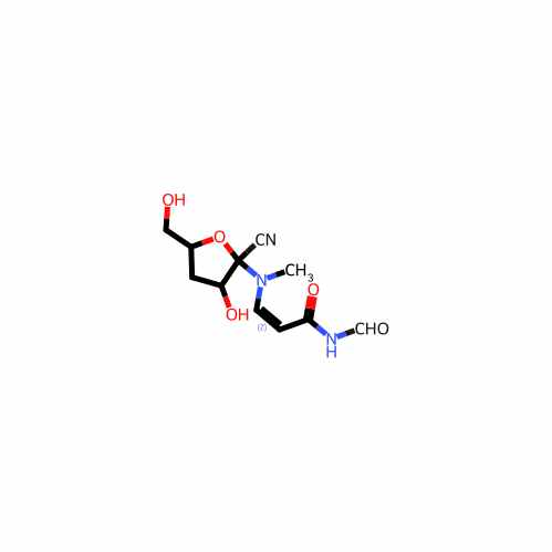 CN(/C=C\C(=O)NC=O)C1(C#N)OC(CO)CC1O